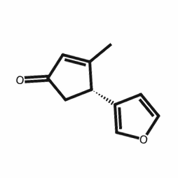 CC1=CC(=O)C[C@H]1c1ccoc1